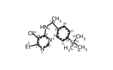 CCc1ncnc(NC(C)c2ccc([Si](C)(C)C)cc2)c1Cl